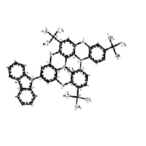 CC(C)(C)c1ccc2c(c1)Oc1cc(C(C)(C)C)c3c4c1N2c1ccc(C(C)(C)C)c2c1[Si]4(C)c1c(cc(-n4c5ccccc5c5ccccc54)cc1O3)O2